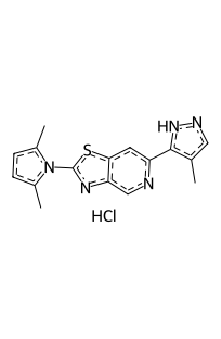 Cc1cn[nH]c1-c1cc2sc(-n3c(C)ccc3C)nc2cn1.Cl